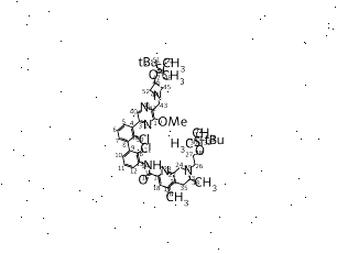 COc1nc(-c2cccc(-c3cccc(NC(=O)c4cc(C)c5c(n4)CN(CCO[Si](C)(C)C(C)(C)C)C(C)C5)c3Cl)c2Cl)cnc1CN1CC(O[Si](C)(C)C(C)(C)C)C1